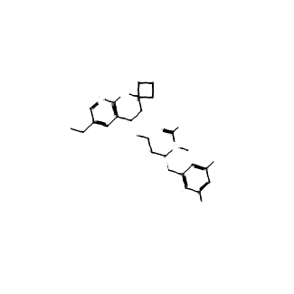 CCc1cnc2c(c1)[C@@H](NC[C@@H](O)[C@H](Cc1cc(F)cc(F)c1)N(C)C(=O)O)CC1(CCC1)O2